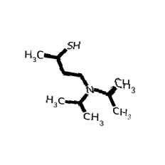 CC(S)CCN(C(C)C)C(C)C